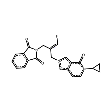 O=C1c2ccccc2C(=O)N1C/C(=C\F)Cn1cc2c(=O)n(C3CC3)ccc2n1